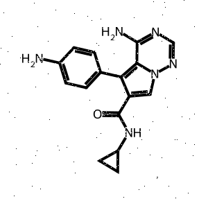 Nc1ccc(-c2c(C(=O)NC3CC3)cn3ncnc(N)c23)cc1